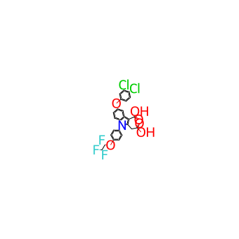 O=C(O)Cc1c(C(=O)O)c2cc(Oc3ccc(Cl)c(Cl)c3)ccc2n1-c1ccc(OC(F)C(F)F)cc1